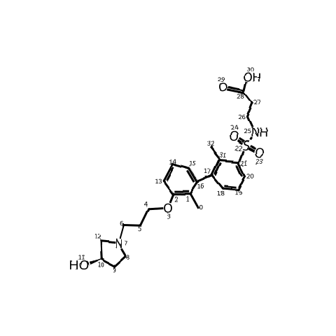 Cc1c(OCCCN2CC[C@@H](O)C2)cccc1-c1cccc(S(=O)(=O)NCCC(=O)O)c1C